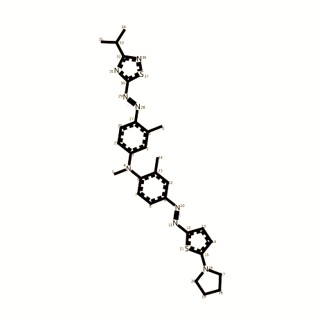 Cc1cc(N(C)c2ccc(/N=N/c3ccc(N4CCCC4)s3)cc2C)ccc1/N=N/c1nc(C(C)C)ns1